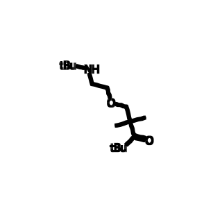 CC(C)(C)NCCOCC(C)(C)C(=O)C(C)(C)C